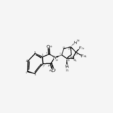 O=C1c2ccccc2C(=O)N1[C@H]1C[C@@H]2C[C@@H]1CC2(F)F